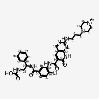 CN1CCN(CCCNc2ncc3cc(C(=O)Nc4cc(C(=O)NC(CNC(=O)O)c5ccccc5)ccc4Cl)c(=O)[nH]c3n2)CC1